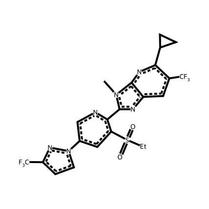 CCS(=O)(=O)c1cc(-n2ccc(C(F)(F)F)n2)cnc1-c1nc2cc(C(F)(F)F)c(C3CC3)nc2n1C